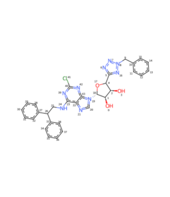 O[C@@H]1[C@H](O)C(c2nnn(Cc3ccccc3)n2)O[C@H]1n1cnc2c(NCC(c3ccccc3)c3ccccc3)nc(Cl)nc21